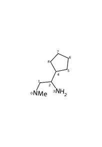 CNCC(N)C1CCCC1